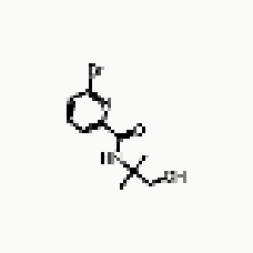 CC(C)(CO)NC(=O)c1cccc(Br)n1